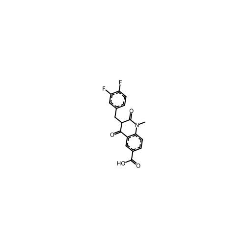 CN1C(=O)C(Cc2ccc(F)c(F)c2)C(=O)c2cc(C(=O)O)ccc21